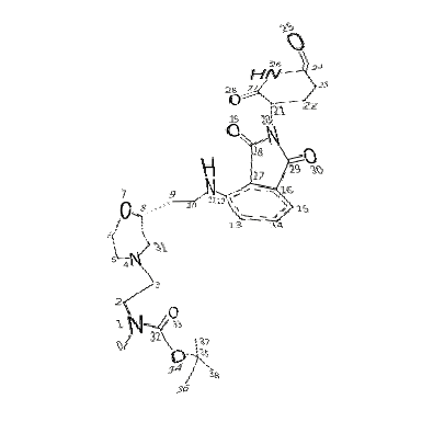 CN(CCN1CCO[C@H](CCNc2cccc3c2C(=O)N(C2CCC(=O)NC2=O)C3=O)C1)C(=O)OC(C)(C)C